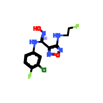 O/N=C(\Nc1ccc(F)c(Cl)c1)c1nonc1NCCF